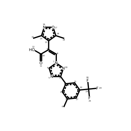 Cc1cc(-c2ncn(/C=C(\C(=O)O)c3c(C)noc3C)n2)cc(C(F)(F)F)c1